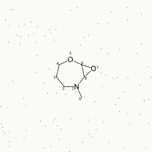 CN1CCCOC2OC21